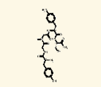 CC(C)C[C@H](NC(=O)[C@H](Cc1ccc([N+](=O)[O-])cc1)NC(=O)CN(C)C(=O)CNC(=O)[C@@H](N)Cc1ccc(O)cc1)C(N)=O